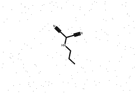 CCCNC(C#N)C#N